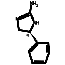 NC1=NC[C@@H](c2ccccc2)N1